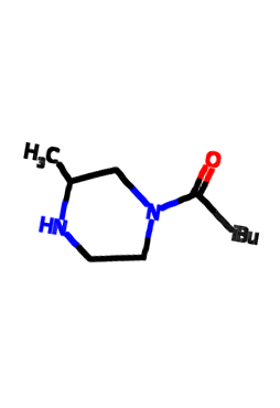 CCC(C)C(=O)N1CCNC(C)C1